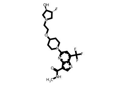 CNC(=O)c1csc2c(C(F)(F)F)cc(N3CCC(OCCN4C[C@@H](O)[C@H](F)C4)CC3)nc12